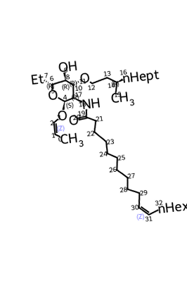 C/C=C\O[C@H]1O[C@H](CC)[C@@H](O)[C@H](OCC[C@H](C)CCCCCCC)[C@H]1NC(=O)CCCCCCCCC/C=C\CCCCCC